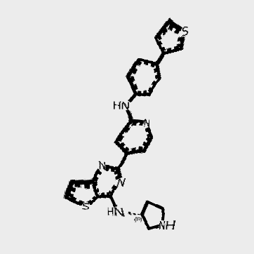 c1cc(-c2nc(N[C@@H]3CCNC3)c3sccc3n2)cc(Nc2ccc(-c3ccsc3)cc2)n1